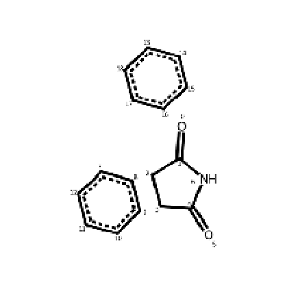 O=C1CCC(=O)N1.c1ccccc1.c1ccccc1